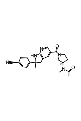 CC(=O)N(C)[C@H]1CCN(C(=O)c2cnc3c(c2)CC(C)(c2ccc(C#N)cc2)N3)C1